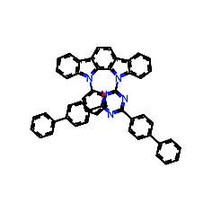 c1ccc(-c2ccc(-c3nc(-c4ccc(-c5ccccc5)cc4)nc(-n4c5ccccc5c5ccc6c7ccccc7n(-c7ccccc7)c6c54)n3)cc2)cc1